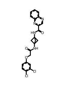 O=C(COc1ccc(Cl)c(Cl)c1)NC12CC(NC(=O)c3cnc4ccccc4n3)(C1)C2